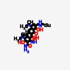 CN(C)c1cc(CNCC(C)(C)C)c(O)c2c1C[C@H]1C[C@H]3[C@H](N(C)C)C(O)=C(C(N)=O)C(=N)[C@@]3(O)C(O)=C1C2=O